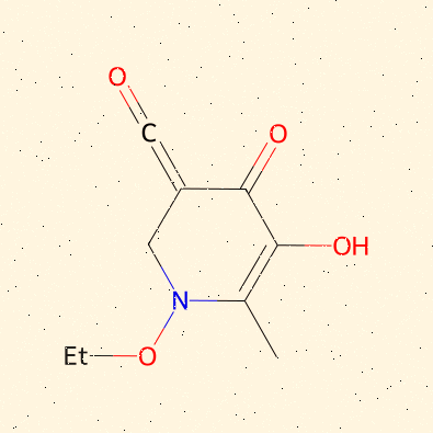 CCON1CC(=C=O)C(=O)C(O)=C1C